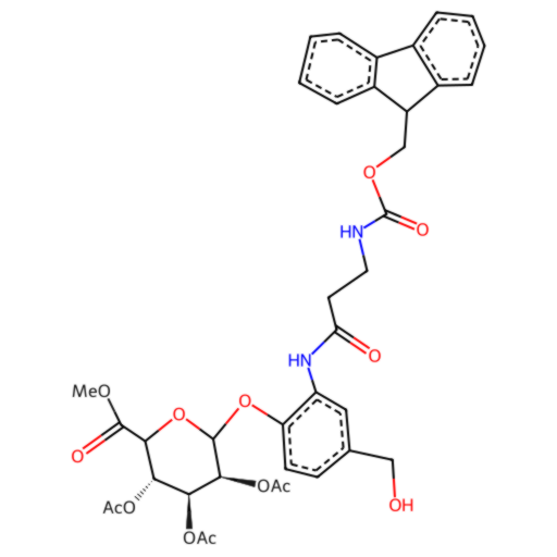 COC(=O)C1OC(Oc2ccc(CO)cc2NC(=O)CCNC(=O)OCC2c3ccccc3-c3ccccc32)[C@@H](OC(C)=O)[C@@H](OC(C)=O)[C@@H]1OC(C)=O